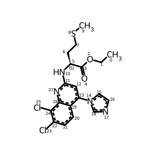 CCOC(=O)[C@H](CCSC)Nc1cc(-n2ccnc2)c2ccc(Cl)c(Cl)c2n1